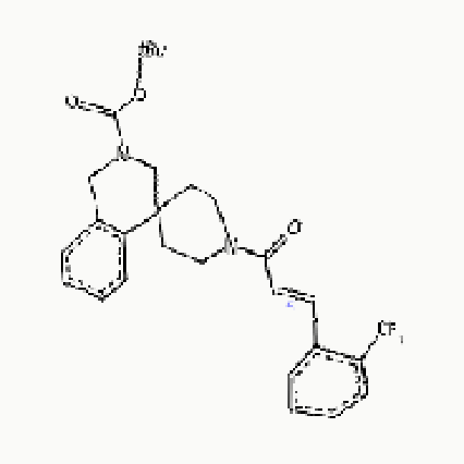 CC(C)(C)OC(=O)N1Cc2ccccc2C2(CCN(C(=O)/C=C/c3ccccc3C(F)(F)F)CC2)C1